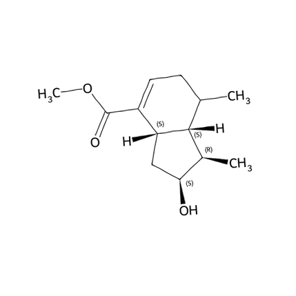 COC(=O)C1=CCC(C)[C@@H]2[C@@H](C)[C@@H](O)C[C@H]12